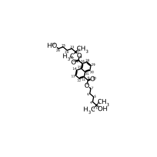 CC(C)(O)CCCCOC(=O)c1cccc2c(C(=O)OC(C)(C)CCCCO)cccc12